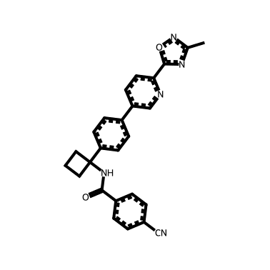 Cc1noc(-c2ccc(-c3ccc(C4(NC(=O)c5ccc(C#N)cc5)CCC4)cc3)cn2)n1